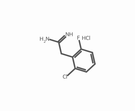 Cl.N=C(N)Cc1c(F)cccc1Cl